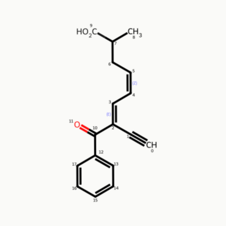 C#C/C(=C\C=C/CC(C)C(=O)O)C(=O)c1ccccc1